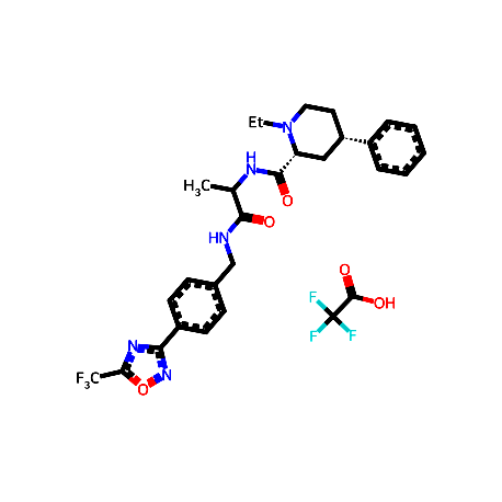 CCN1CC[C@H](c2ccccc2)C[C@@H]1C(=O)NC(C)C(=O)NCc1ccc(-c2noc(C(F)(F)F)n2)cc1.O=C(O)C(F)(F)F